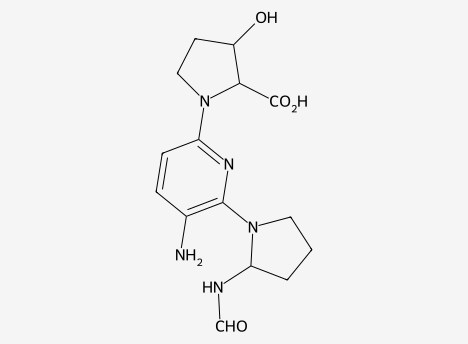 Nc1ccc(N2CCC(O)C2C(=O)O)nc1N1CCCC1NC=O